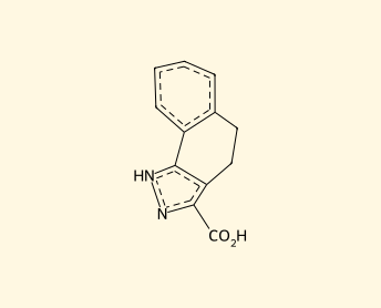 O=C(O)c1n[nH]c2c1CCc1ccccc1-2